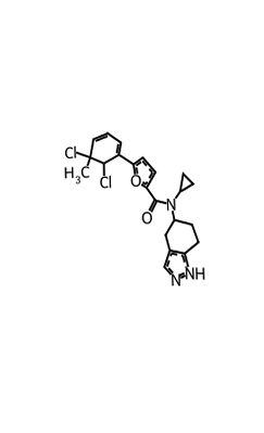 CC1(Cl)C=CC=C(c2ccc(C(=O)N(C3CC3)C3CCc4[nH]ncc4C3)o2)C1Cl